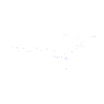 COc1ccc(C)cc1NC(=O)OCC1CCC2CCCC1N2CNC(=O)CCSSc1ccc(CO)cc1